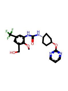 COc1c(CO)cc(C(F)(F)F)cc1NC(=O)N[C@H]1CC[C@H](Oc2ncccn2)CC1